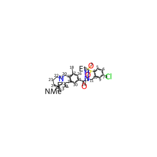 CCS(=O)(=O)c1ccc(Cl)cc1CNC(=O)c1cc(C)c(CN2CCC[C@H](NC)C2)c(C(F)(F)F)c1